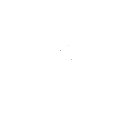 CC(CBr)CCC(=O)NC1CN(C(=O)OC(C)(C)C)CC(F)(F)C1